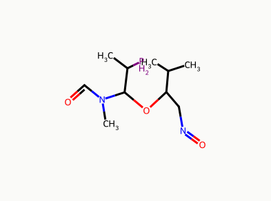 CC(C)C(CN=O)OC(C(C)P)N(C)C=O